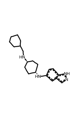 c1cc2[nH]ncc2cc1N[C@H]1CC[C@H](NCC2CCCCC2)CC1